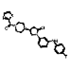 O=C(c1nccs1)N1CCN(C2CC(=O)N(c3cccc(Nc4ccc(F)cc4)c3)C2)CC1